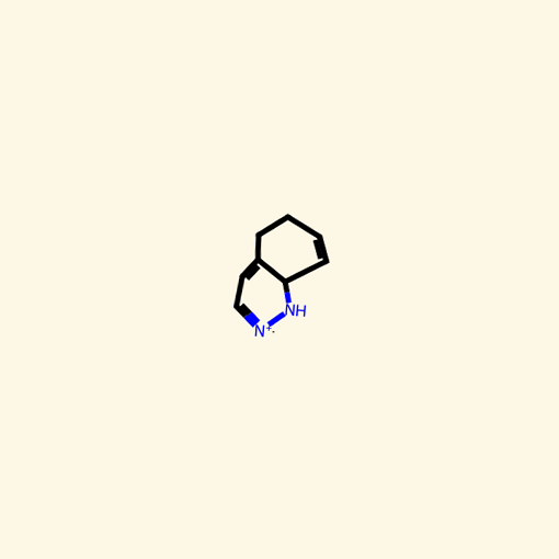 C1=CC2N[N+]=CC=C2CC1